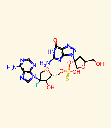 Nc1nc2c(nnn2[C@]2(OP(O)(=S)OC[C@H]3OCC(F)(n4cnc5c(N)ncnc54)[C@@H]3O)CO[C@H](CO)C2)c(=O)[nH]1